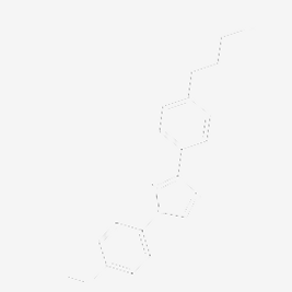 OCCCc1ccc(-c2ncn(-c3ccc(OC(F)(F)F)cc3)n2)cc1